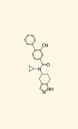 N#Cc1cc(C(=O)N(C2CC2)C2CCc3[nH]ncc3C2)ccc1-c1ccccc1